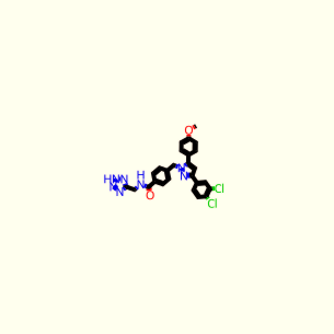 COc1ccc(-c2cc(-c3ccc(Cl)c(Cl)c3)nn2Cc2ccc(C(=O)NCc3nn[nH]n3)cc2)cc1